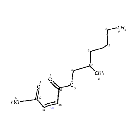 CCCCC(O)COC(=O)/C=C\C(=O)O